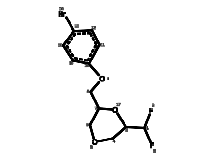 FC(F)C1COCC(COc2ccc(Br)cc2)O1